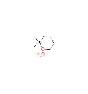 C[Si]1(C)CCCCO1.O